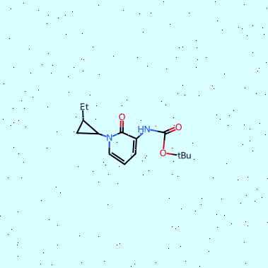 CCC1CC1n1cccc(NC(=O)OC(C)(C)C)c1=O